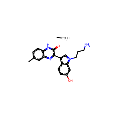 CC(=O)O.Cc1ccc2[nH]c(=O)c(-c3cn(CCCN)c4cc(O)ccc34)nc2c1